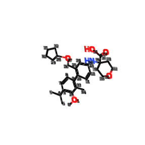 COc1c(C(C)C)ccc(-c2ccc(NC3(C(=O)O)CCOCC3)cc2COC2CCCC2)c1C